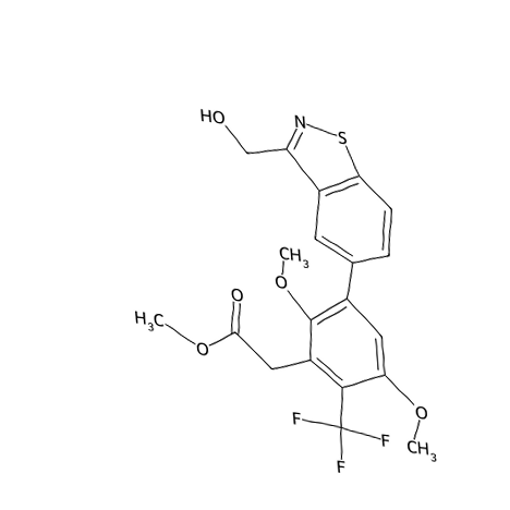 COC(=O)Cc1c(OC)c(-c2ccc3snc(CO)c3c2)cc(OC)c1C(F)(F)F